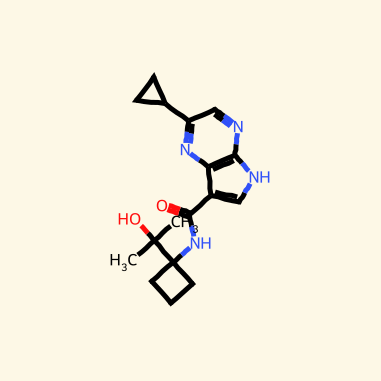 CC(C)(O)C1(NC(=O)c2c[nH]c3ncc(C4CC4)nc23)CCC1